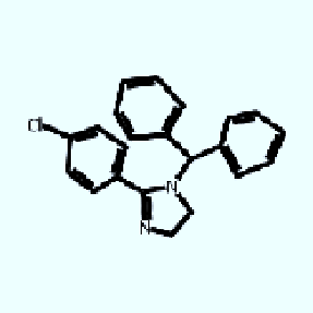 Clc1ccc(C2=NCCN2C(c2ccccc2)c2ccccc2)cc1